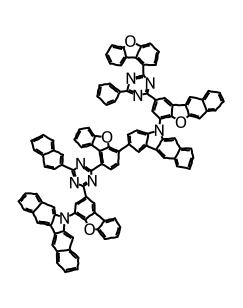 c1ccc(-c2nc(-c3cc(-n4c5ccc(-c6ccc(-c7nc(-c8ccc9ccccc9c8)nc(-c8cc(-n9c%10cc%11ccccc%11cc%10c%10cc%11ccccc%11cc%109)c9oc%10ccccc%10c9c8)n7)c7c6oc6ccccc67)cc5c5cc6ccccc6cc54)c4oc5cc6ccccc6cc5c4c3)nc(-c3cccc4oc5ccccc5c34)n2)cc1